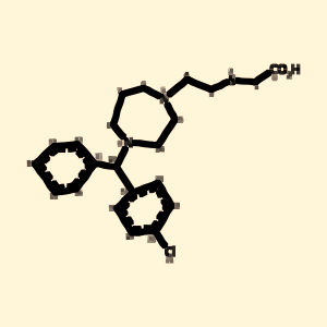 O=C(O)CSCCN1CCCN(C(c2ccccc2)c2ccc(Cl)cc2)CC1